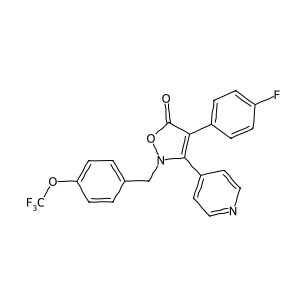 O=c1on(Cc2ccc(OC(F)(F)F)cc2)c(-c2ccncc2)c1-c1ccc(F)cc1